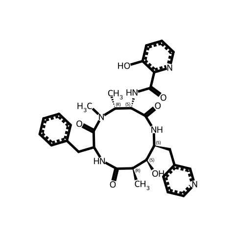 C[C@@H]1[C@H](NC(=O)c2ncccc2O)C(=O)N[C@@H](Cc2cccnc2)[C@@H](O)[C@@H](C)C(=O)NC(Cc2ccccc2)C(=O)N1C